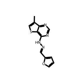 Cc1csc2c(NN=Cc3ccco3)ncnc12